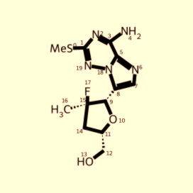 CSc1nc(N)c2ncc([C@@H]3O[C@H](CO)C[C@@]3(C)F)n2n1